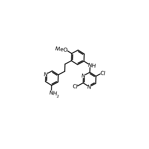 COc1ccc(Nc2nc(Cl)ncc2Cl)cc1CCc1cncc(N)c1